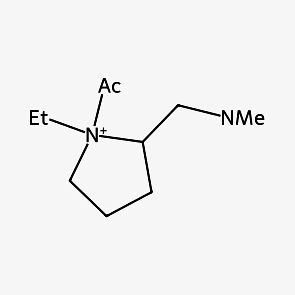 CC[N+]1(C(C)=O)CCCC1CNC